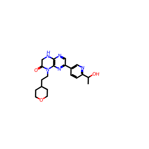 CC(O)c1ccc(-c2cnc3c(n2)N(CCC2CCOCC2)C(=O)CN3)cn1